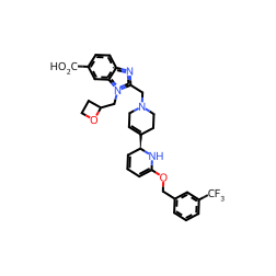 O=C(O)c1ccc2nc(CN3CC=C([C@@H]4C=CC=C(OCc5cccc(C(F)(F)F)c5)N4)CC3)n(CC3CCO3)c2c1